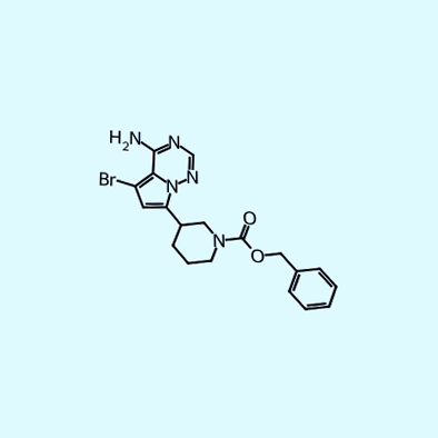 Nc1ncnn2c(C3CCCN(C(=O)OCc4ccccc4)C3)cc(Br)c12